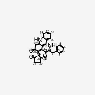 N[C@@H](Cc1ccccc1)C(=O)c1c2cc3ccccc3[nH]c-2cc(=O)c1N1C(=O)CCC1=O